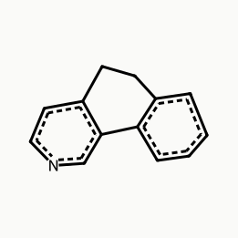 c1ccc2c(c1)CCc1ccncc1-2